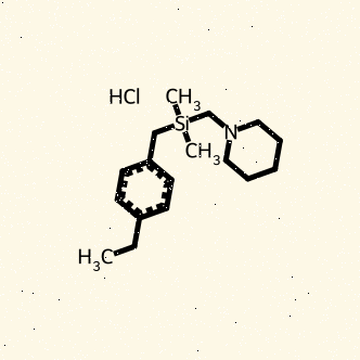 CCc1ccc(C[Si](C)(C)CN2CCCCC2)cc1.Cl